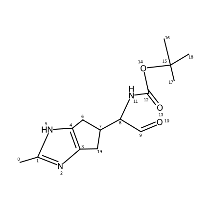 Cc1nc2c([nH]1)CC(C(C=O)NC(=O)OC(C)(C)C)C2